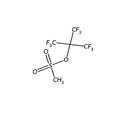 CS(=O)(=O)OC(C(F)(F)F)(C(F)(F)F)C(F)(F)F